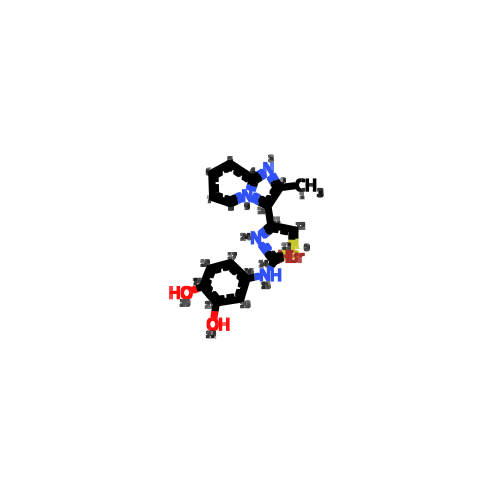 Br.Cc1nc2ccccn2c1-c1csc(Nc2ccc(O)c(O)c2)n1